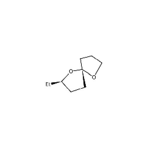 CC[C@@H]1CC[C@]2(CCCO2)O1